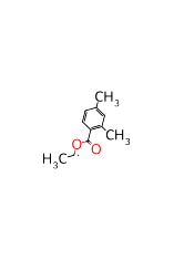 C[CH]OC(=O)c1ccc(C)cc1C